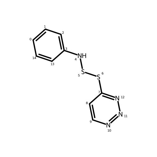 c1ccc(NSSc2ccnnn2)cc1